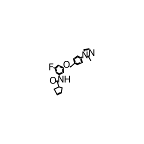 Cc1nccn1-c1ccc(COc2cc(F)cc(NC(=O)C3CC=CC3)c2)cc1